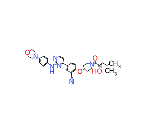 CC(C)C[C@H](O)C(=O)N1CCC(Oc2ccc(-c3ccnc(Nc4ccc(N5CCOCC5)cc4)n3)cc2C#N)CC1